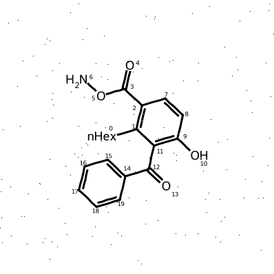 CCCCCCc1c(C(=O)ON)ccc(O)c1C(=O)c1ccccc1